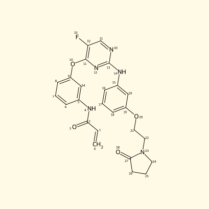 C=CC(=O)Nc1cccc(Oc2nc(Nc3cccc(OCCN4CCCC4=O)c3)ncc2F)c1